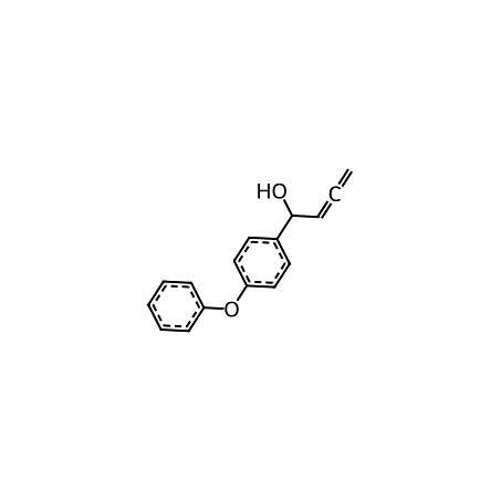 C=C=CC(O)c1ccc(Oc2ccccc2)cc1